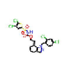 O=C(NS(=O)(=O)c1cc(Cl)c(Cl)s1)OC/C=C1\CCCc2cnn(Cc3ccc(Cl)cc3Cl)c21